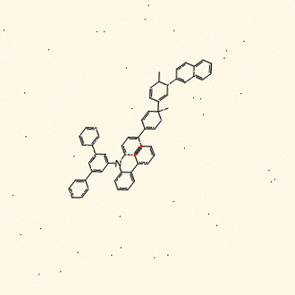 CC1C=CC(C2(C)C=CC(c3ccc(N(c4cc(-c5ccccc5)cc(-c5ccccc5)c4)c4ccccc4-c4ccccc4)cc3)=CC2)=CC1c1ccc2ccccc2c1